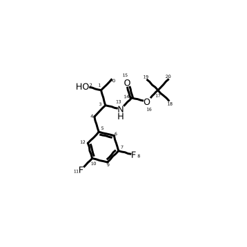 [CH2]C(O)C(Cc1cc(F)cc(F)c1)NC(=O)OC(C)(C)C